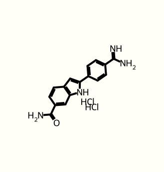 Cl.Cl.N=C(N)c1ccc(-c2cc3ccc(C(N)=O)cc3[nH]2)cc1